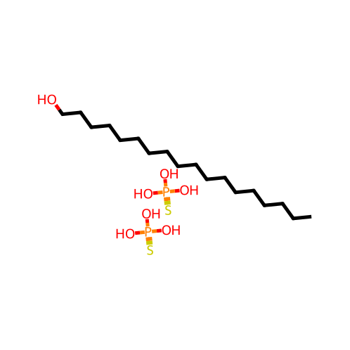 CCCCCCCCCCCCCCCCCCO.OP(O)(O)=S.OP(O)(O)=S